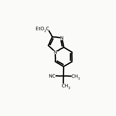 CCOC(=O)c1cn2cc(C(C)(C)C#N)ccc2n1